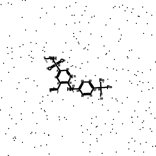 C=Cc1cc(S(=O)(=O)NC)cnc1Nc1ccc(C(F)(F)F)cc1